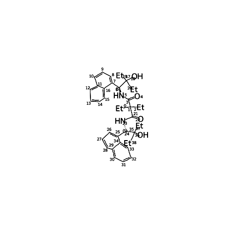 CCC(CC)(C(=O)N[C@@H](c1cccc2ccccc12)C(O)(CC)CC)C(=O)N[C@@H](c1cccc2ccccc12)C(O)(CC)CC